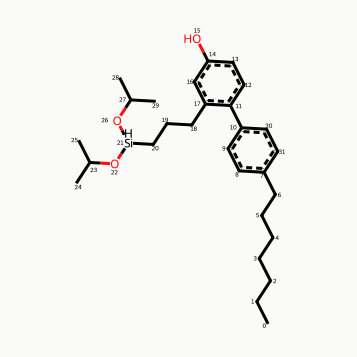 CCCCCCCc1ccc(-c2ccc(O)cc2CCC[SiH](OC(C)C)OC(C)C)cc1